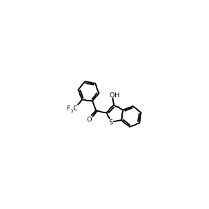 O=C(c1ccccc1C(F)(F)F)c1sc2ccccc2c1O